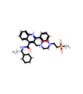 C[C@H](NC(=O)c1c(CN2CCN(CCS(C)(=O)=O)CC2)c(-c2ccccc2)nc2ccccc12)C1CCCCC1